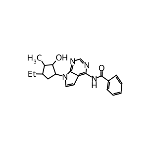 CCC1CC(n2ccc3c(NC(=O)c4ccccc4)ncnc32)C(O)C1C